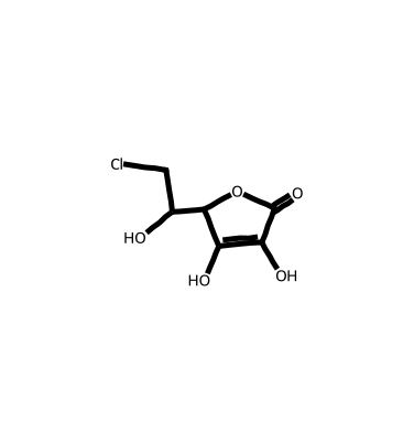 O=C1OC(C(O)CCl)C(O)=C1O